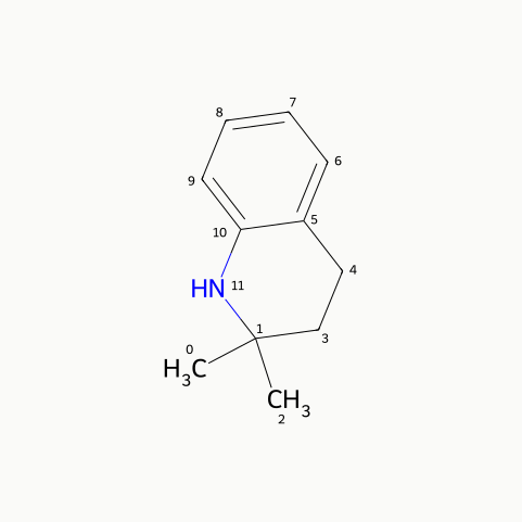 CC1(C)CCc2ccccc2N1